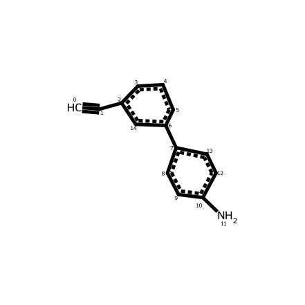 C#Cc1cccc(-c2ccc(N)cc2)c1